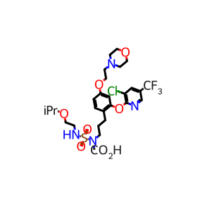 CC(C)OCCNS(=O)(=O)N(CCCc1ccc(OCCN2CCOCC2)cc1Oc1ncc(C(F)(F)F)cc1Cl)C(=O)O